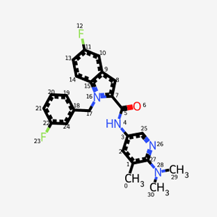 Cc1cc(NC(=O)c2cc3cc(F)ccc3n2Cc2cccc(F)c2)cnc1N(C)C